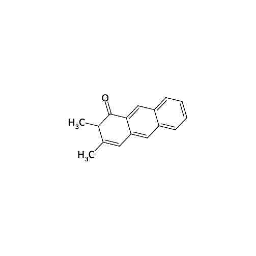 CC1=Cc2cc3ccccc3cc2C(=O)C1C